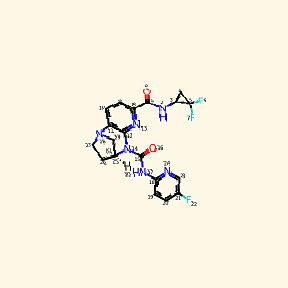 O=C(NC1CC1(F)F)c1ccc2c(n1)N(C(=O)Nc1ccc(F)cn1)[C@H]1CCN2C1